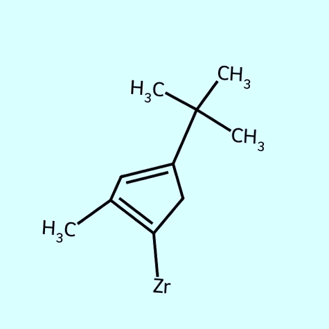 CC1=[C]([Zr])CC(C(C)(C)C)=C1